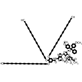 C#CC#CC#CC#CC#CC#CC#CC#CC#CC#CC#COc1cc(C(=O)Nc2ncnc3c2ncn3[C@@H]2O[C@H](COC(c3ccccc3)(c3ccc(OC)cc3)c3ccc(OC)cc3)C(OC(=O)CCC(C)=O)[C@@H]2O[Si](C)(C)C(C)(C)C)cc(OC#CC#CC#CC#CC#CC#CC#CC#CC#CC#CC#C)c1OC#CC#CC#CC#CC#CC#CC#CC#CC#CC#CC#C